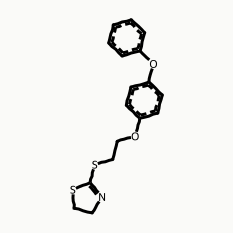 c1ccc(Oc2ccc(OCCSC3=NCCS3)cc2)cc1